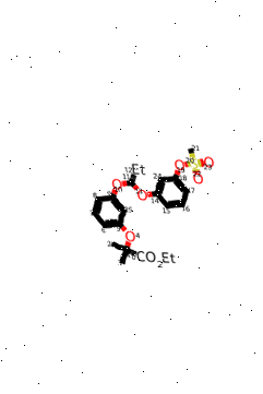 CCOC(=O)C(C)(C)Oc1cccc(OC(CC)Oc2cccc(OS(C)(=O)=O)c2)c1